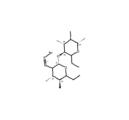 [4H]/P=N\C1[C@H](O[C@@H]2C(CC)O[C@@H](C)C(C)[C@H]2C)OC(CC)[C@@H](C)[C@@H]1C